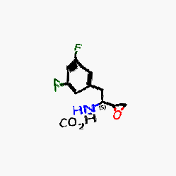 O=C(O)N[C@@H](Cc1cc(F)cc(F)c1)C1CO1